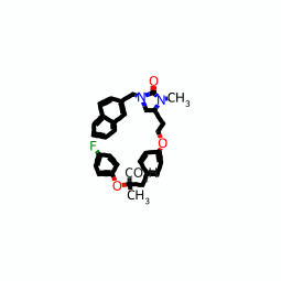 CN1C(=O)N(Cc2ccc3ccccc3c2)CC1CCOc1ccc(CC(C)(Oc2ccc(F)cc2)C(=O)O)cc1